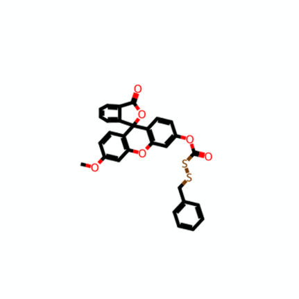 COc1ccc2c(c1)Oc1cc(OC(=O)SSCc3ccccc3)ccc1C21OC(=O)c2ccccc21